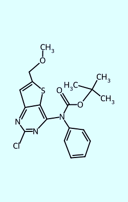 COCc1cc2nc(Cl)nc(N(C(=O)OC(C)(C)C)c3ccccc3)c2s1